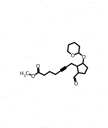 COC(=O)CCCC#CCC1C(C=O)CCC1OC1CCCCO1